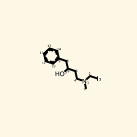 CN(CI)CCC(O)Cc1ccccc1